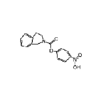 O=C(Oc1ccc([N+](=O)O)cc1)N1CCc2ccccc2C1